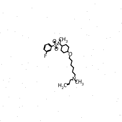 C=CCN(C)CCCCCCOC1CCC(N(C)S(=O)(=O)c2cccc(F)c2)CC1